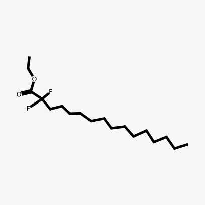 CCCCCCCCCCCCCCC(F)(F)C(=O)OCC